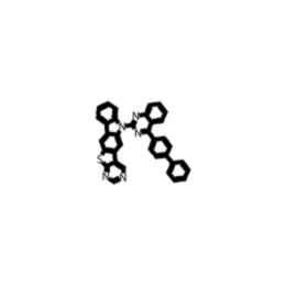 c1ccc(-c2ccc(-c3nc(-n4c5ccccc5c5cc6sc7ncncc7c6cc54)nc4ccccc34)cc2)cc1